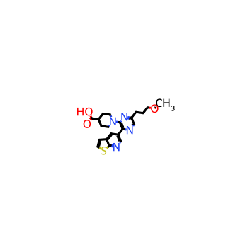 COCCCc1cnc(-c2cnc3sccc3c2)c(N2CCC(C(=O)O)CC2)n1